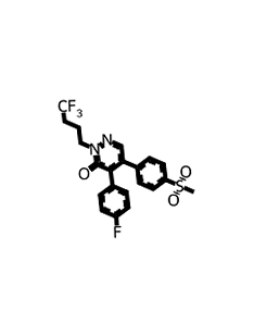 CS(=O)(=O)c1ccc(-c2cnn(CCCC(F)(F)F)c(=O)c2-c2ccc(F)cc2)cc1